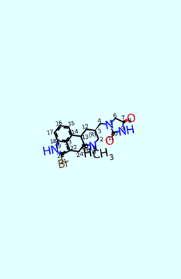 CN1C[C@H](CN2CC(=O)NC2=O)CC2c3cccc4[nH]c(Br)c(c34)C[C@H]21